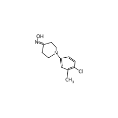 Cc1cc(N2CCC(=NO)CC2)ccc1Cl